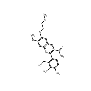 COCCOc1cc2cc(C(N)=O)c(-c3ccc(N)c(C)c3CO)nc2cc1OC